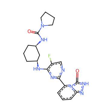 O=C(N[C@@H]1CCC[C@H](Nc2nc(-c3cccc4n[nH]c(=O)n34)ncc2F)C1)N1CCCC1